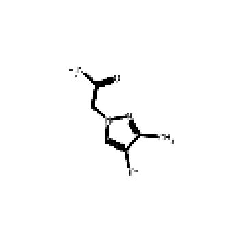 Cc1nn(CC(N)=O)cc1C(C)C